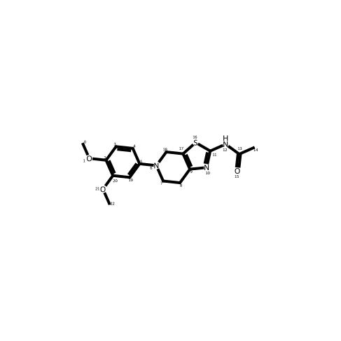 COc1ccc(N2CCc3nc(NC(C)=O)sc3C2)cc1OC